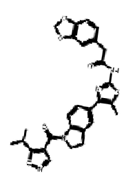 Cc1sc(NC(=O)Cc2ccc3c(c2)OCO3)nc1-c1ccc2c(c1)CCN2C(=O)c1cnoc1C(C)C